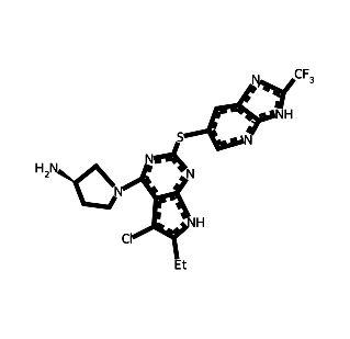 CCc1[nH]c2nc(Sc3cnc4[nH]c(C(F)(F)F)nc4c3)nc(N3CC[C@@H](N)C3)c2c1Cl